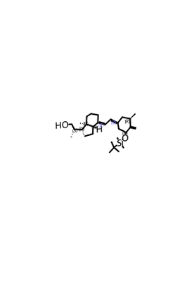 C=C1[C@H](C)C/C(=C/C=C2\CCC[C@]3(C)[C@@H]([C@H](C)CO)CC[C@@H]23)C[C@H]1O[Si](C)(C)C(C)(C)C